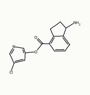 NC1CCc2c(C(=O)Oc3cncc(Cl)c3)cccc21